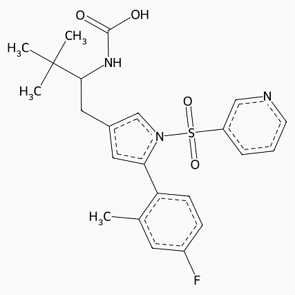 Cc1cc(F)ccc1-c1cc(CC(NC(=O)O)C(C)(C)C)cn1S(=O)(=O)c1cccnc1